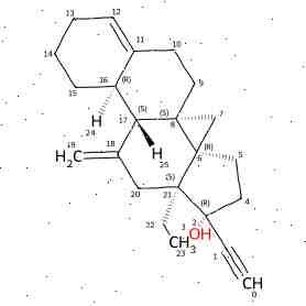 C#C[C@]1(O)CC[C@@]23C[C@]24CCC2=CCCC[C@@H]2[C@H]4C(=C)C[C@@]31CC